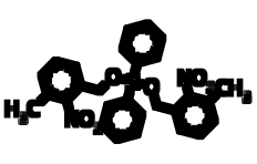 Cc1cccc(CO[Si](OCc2cccc(C)c2[N+](=O)[O-])(c2ccccc2)c2ccccc2)c1[N+](=O)[O-]